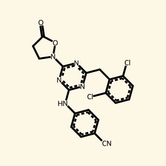 N#Cc1ccc(Nc2nc(Cc3c(Cl)cccc3Cl)nc(N3CCC(=O)O3)n2)cc1